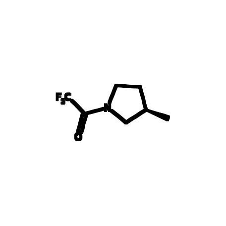 C[C@@H]1CCN(C(=O)C(F)(F)F)C1